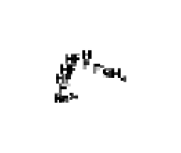 F.F.F.F.[Ba+2].[F-].[F-].[SiH4]